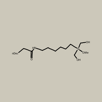 CCCCCCCCCCCC(=O)NCCCCCC[Si](CO)(CO)OC